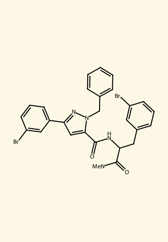 CNC(=O)C(Cc1cccc(Br)c1)NC(=O)c1cc(-c2cccc(Br)c2)nn1Cc1ccccc1